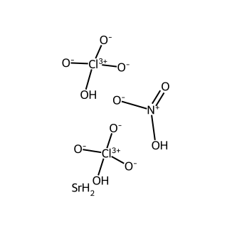 O=[N+]([O-])O.[O-][Cl+3]([O-])([O-])O.[O-][Cl+3]([O-])([O-])O.[SrH2]